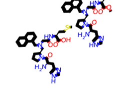 COC(=O)[C@H](CCSC)NC(=O)CN(Cc1cccc2ccccc12)C[C@@H]1CCCN1C(=O)[C@@H](N)Cc1c[nH]cn1.CSCC[C@H](NC(=O)CN(Cc1cccc2ccccc12)C[C@@H]1CCCN1C(=O)[C@@H](N)Cc1c[nH]cn1)C(=O)O